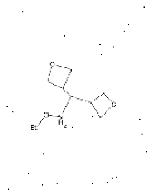 CCO[SiH2]C(C1COC1)C1COC1